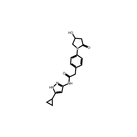 O=C(Cc1ccc(N2CC(O)CC2=O)cc1)Nc1cc(C2CC2)[nH]n1